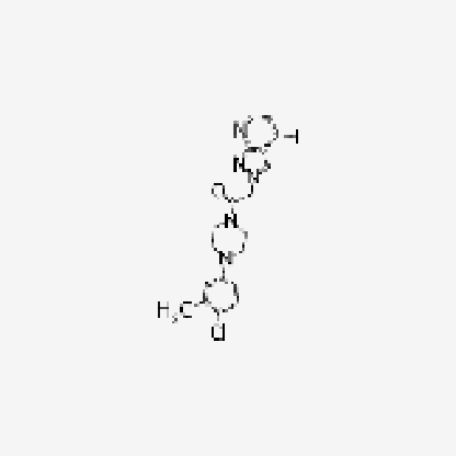 Cc1cc(N2CCN(C(=O)Cn3cc4c(I)ccnc4n3)CC2)ccc1Cl